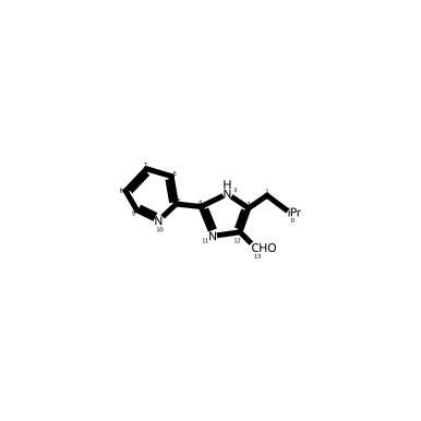 CC(C)Cc1[nH]c(-c2ccccn2)nc1C=O